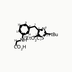 CCOC(=O)c1sc(C(C)(C)C)nc1Cc1cccc(NCC(=O)O)c1